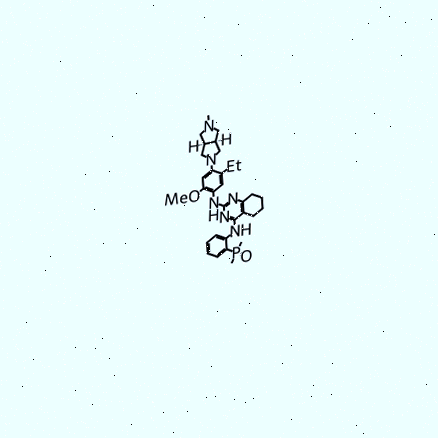 CCc1cc(Nc2nc3c(c(Nc4ccccc4P(C)(C)=O)n2)CCCC3)c(OC)cc1N1C[C@H]2CN(C)C[C@H]2C1